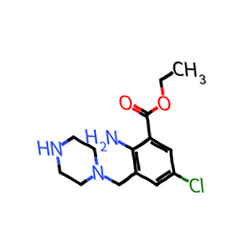 CCOC(=O)c1cc(Cl)cc(CN2CCNCC2)c1N